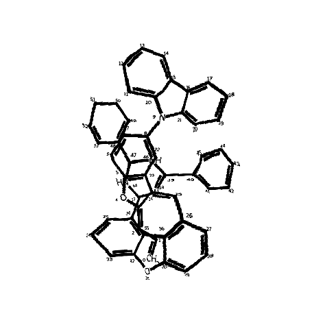 C=C/C=c1/oc2ccc(-n3c4ccccc4c4ccccc43)cc2/c1=C/c1cccc2oc3cccc(C4N=C(c5ccccc5)NC(C5=CCCC=C5)N4)c3c12